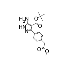 COC(=O)Cc1ccc(-c2n[nH]c(N)c2C(=O)OC(C)(C)C)cc1